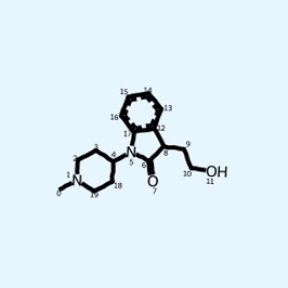 CN1CCC(N2C(=O)C(CCO)c3ccccc32)CC1